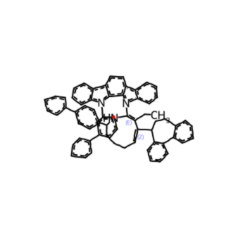 CCC1=C(\n2c3ccccc3c3ccc4c5ccccc5n(-c5cccc(-c6ccccc6)c5)c4c32)NC(c2ccc(-c3ccccc3)cc2)CCC/C=C\1C1CCc2ccccc2-c2ccccc21